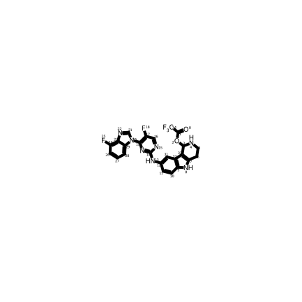 O=C(OC1NCCc2[nH]c3ccc(Nc4ncc(F)c(-n5cnc6c(F)cccc65)n4)cc3c21)C(F)(F)F